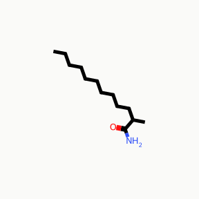 CCCCCCCCCCC(C)C(N)=O